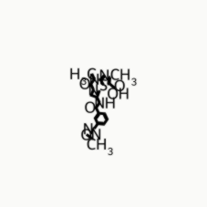 Cc1nc(-c2cccc(C(=O)NC3CN(C(=O)N(C)c4nc(C)c(C(=O)O)s4)C3)c2)no1